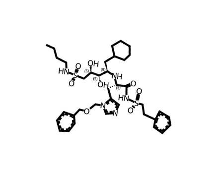 CCCCNS(=O)(=O)C[C@@H](O)[C@@H](O)[C@@H](CC1CCCCC1)N[C@@H](Cc1cncn1COCc1ccccc1)C(=O)NS(=O)(=O)CCc1ccccc1